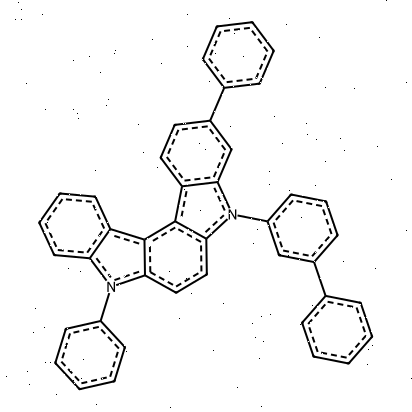 c1ccc(-c2cccc(-n3c4cc(-c5ccccc5)ccc4c4c5c6ccccc6n(-c6ccccc6)c5ccc43)c2)cc1